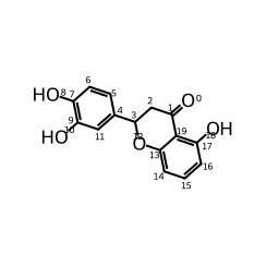 O=C1CC(c2ccc(O)c(O)c2)Oc2cccc(O)c21